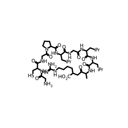 CC(C)CC(NC(=O)CNC(=O)C(CC(C)C)NC(=O)C1CCCN1C(=O)CNC(=O)C(CS)NC(=O)CN)C(=O)NC(CC(C)C)C(=O)NC(C)C(=O)CC(CCCCNC(=N)N)C(=O)O